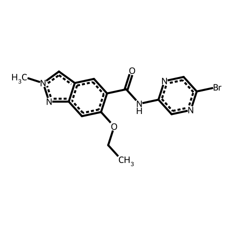 CCOc1cc2nn(C)cc2cc1C(=O)Nc1cnc(Br)cn1